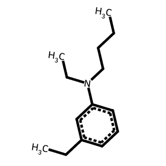 CCCCN(CC)c1cccc(CC)c1